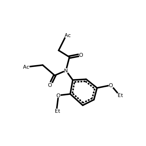 CCOc1ccc(OCC)c(N(C(=O)CC(C)=O)C(=O)CC(C)=O)c1